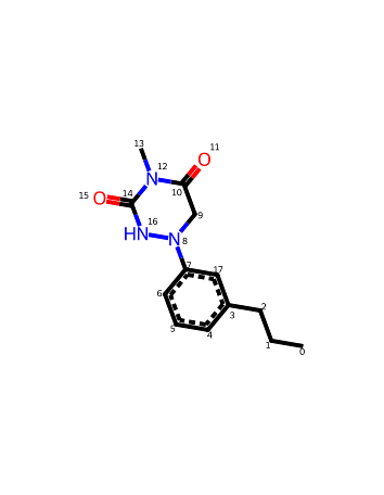 CCCc1cccc(N2CC(=O)N(C)C(=O)N2)c1